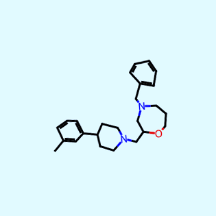 Cc1cccc(C2CCN(CC3CN(Cc4ccccc4)CCCO3)CC2)c1